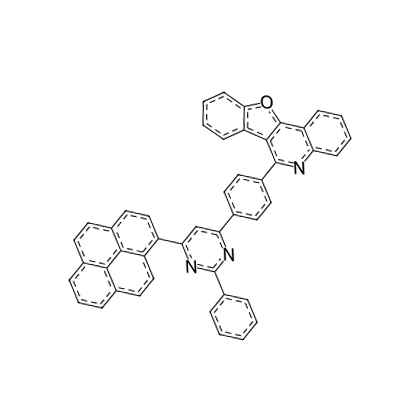 c1ccc(-c2nc(-c3ccc(-c4nc5ccccc5c5oc6ccccc6c45)cc3)cc(-c3ccc4ccc5cccc6ccc3c4c56)n2)cc1